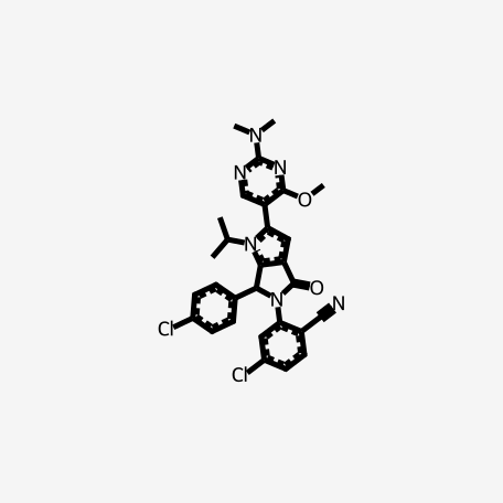 COc1nc(N(C)C)ncc1-c1cc2c(n1C(C)C)C(c1ccc(Cl)cc1)N(c1cc(Cl)ccc1C#N)C2=O